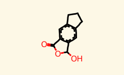 O=C1OC(O)c2cc3c(cc21)CCC3